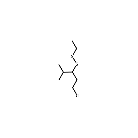 CCSSC(CCCl)C(C)C